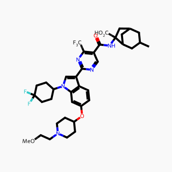 COCCN1CCC(Oc2ccc3c(-c4ncc(C(=O)NC5(C(=O)O)CC6CC(C)CC5C6)c(C(F)(F)F)n4)cn(C4CCC(F)(F)CC4)c3c2)CC1